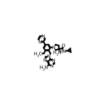 CCc1cc(-c2cnccn2)cc(N2CCC(N)(C(=O)NC3CC3)C2)c1Cn1cnc2c(N)ncnc21